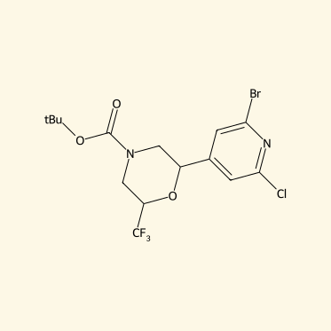 CC(C)(C)OC(=O)N1CC(c2cc(Cl)nc(Br)c2)OC(C(F)(F)F)C1